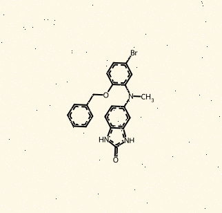 CN(c1ccc2[nH]c(=O)[nH]c2c1)c1cc(Br)ccc1OCc1ccccc1